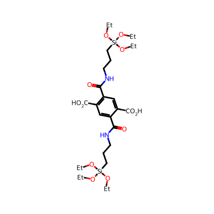 CCO[Si](CCCNC(=O)c1cc(C(=O)O)c(C(=O)NCCC[Si](OCC)(OCC)OCC)cc1C(=O)O)(OCC)OCC